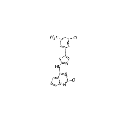 Cc1cc(Cl)cc(-c2cnc(Nc3nc(Cl)nn4cccc34)s2)c1